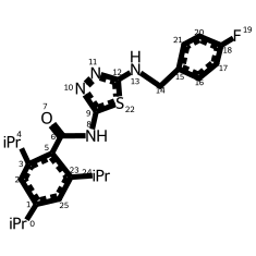 CC(C)c1cc(C(C)C)c(C(=O)Nc2nnc(NCc3ccc(F)cc3)s2)c(C(C)C)c1